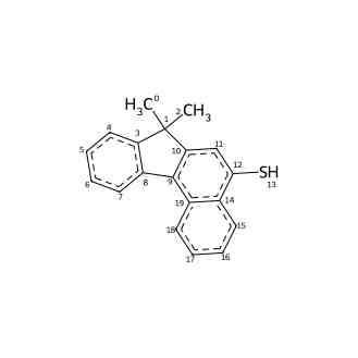 CC1(C)c2ccccc2-c2c1cc(S)c1ccccc21